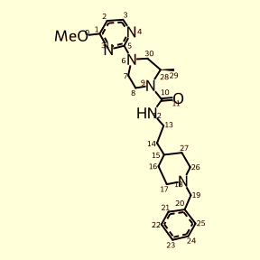 COc1ccnc(N2CCN(C(=O)NCCC3CCN(Cc4ccccc4)CC3)[C@H](C)C2)n1